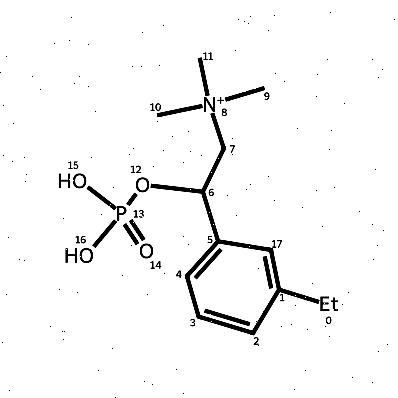 CCc1cccc(C(C[N+](C)(C)C)OP(=O)(O)O)c1